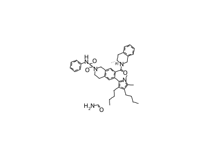 CCCCc1c(CCCC)c(-c2cc3c(cc2C(=O)N2Cc4ccccc4C[C@H]2C)CN(S(=O)(=O)Nc2ccccc2)CC3)n(C)c1C.NC=O